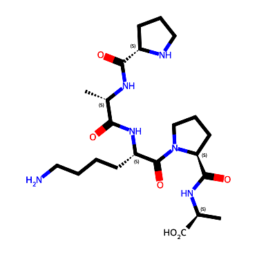 C[C@H](NC(=O)[C@@H]1CCCN1C(=O)[C@H](CCCCN)NC(=O)[C@H](C)NC(=O)[C@@H]1CCCN1)C(=O)O